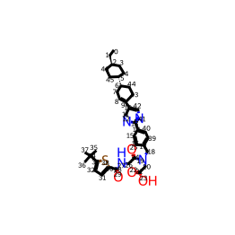 CC[C@H]1CC[C@H](C2CC=C(c3cnc(-c4ccc(CN(CC(=O)O)C(=O)CNC(=O)c5ccc(C(C)(C)C)s5)cc4)nc3)CC2)CC1